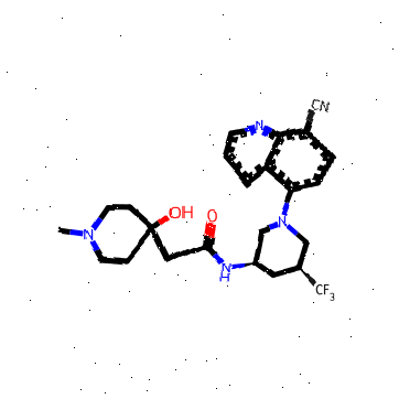 CN1CCC(O)(CC(=O)N[C@@H]2C[C@H](C(F)(F)F)CN(c3ccc(C#N)c4ncccc34)C2)CC1